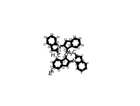 Cc1cc2ccccc2n1C1=Cc2ccccc2[CH]1[Zr+2][CH]1C(n2c(C)cc3ccccc32)=Cc2ccccc21.[F-].[F-]